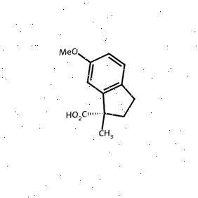 COc1ccc2c(c1)[C@@](C)(C(=O)O)CC2